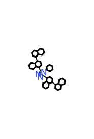 c1ccc(-n2c(-c3ccc(-c4cccc5ccccc45)c4ccccc34)nnc2-c2ccc(-c3cccc4ccccc34)c3ccccc23)cc1